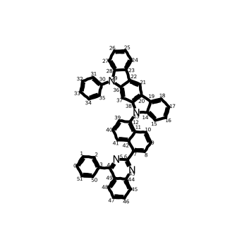 c1ccc(-c2nc(-c3cccc4c(-n5c6ccccc6c6cc7c8ccccc8n(-c8ccccc8)c7cc65)cccc34)nc3ccccc23)cc1